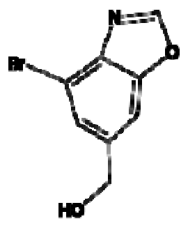 OCc1cc(Br)c2ncoc2c1